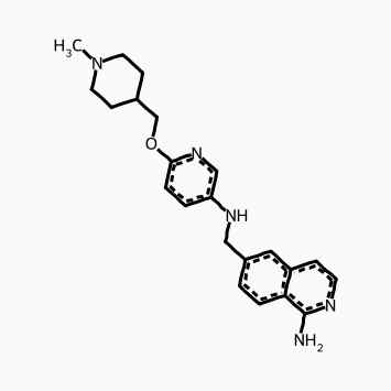 CN1CCC(COc2ccc(NCc3ccc4c(N)nccc4c3)cn2)CC1